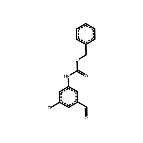 O=Cc1cc(Cl)cc(NC(=O)OCc2ccccc2)c1